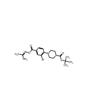 C/C(N)=N/OC(=O)c1ccc(N2CCN(C(=O)OC(C)(C)C)CC2)c(Br)c1